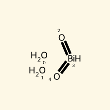 O.O.[O]=[BiH]=[O]